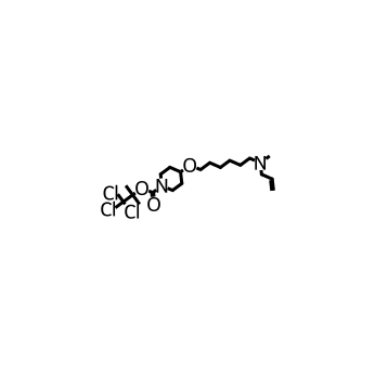 C=CCN(C)CCCCCCOC1CCN(C(=O)OC(C)(C)C(Cl)(Cl)Cl)CC1